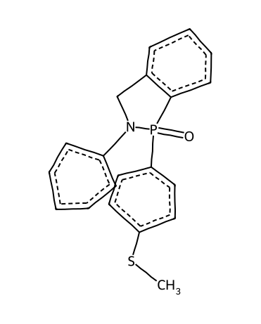 CSc1ccc(P2(=O)c3ccccc3CN2c2ccccc2)cc1